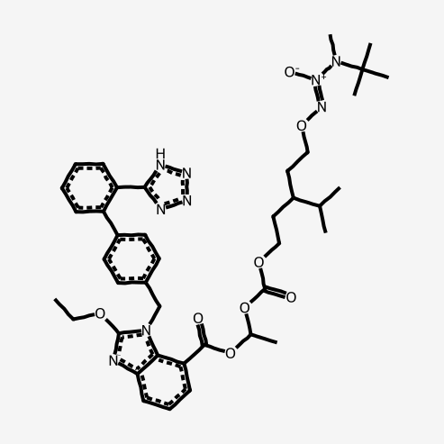 CCOc1nc2cccc(C(=O)OC(C)OC(=O)OCCC(CCO/N=[N+](\[O-])N(C)C(C)(C)C)C(C)C)c2n1Cc1ccc(-c2ccccc2-c2nnn[nH]2)cc1